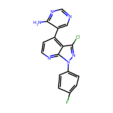 Nc1ncncc1-c1ccnc2c1c(Cl)nn2-c1ccc(F)cc1